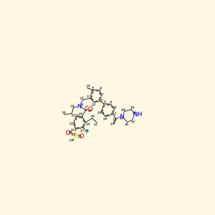 C=C(c1ccc(-c2ccc(C)c(CN(CCC)C(=O)c3ccc(S(C)(=O)=O)c(F)c3CC)c2)cc1)N1CCNCC1